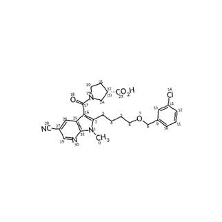 Cn1c(CCCCOCc2cccc(Cl)c2)c(C(=O)N2CC[C@H](C(=O)O)C2)c2cc(C#N)cnc21